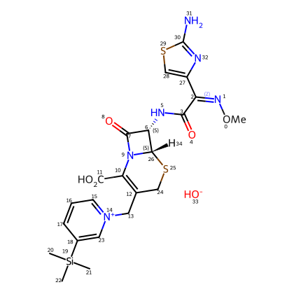 CO/N=C(\C(=O)N[C@H]1C(=O)N2C(C(=O)O)=C(C[n+]3cccc([Si](C)(C)C)c3)CS[C@@H]12)c1csc(N)n1.[OH-]